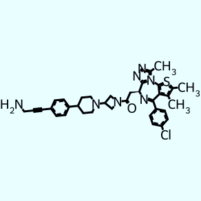 Cc1sc2c(c1C)C(c1ccc(Cl)cc1)=N[C@@H](CC(=O)N1CC(N3CCC(c4ccc(C#CCN)cc4)CC3)C1)c1nnc(C)n1-2